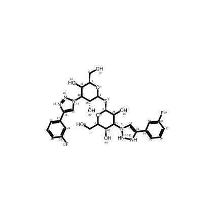 OCC1O[C@@H](SC2O[C@H](CO)C(O)C(n3cc(-c4cccc(F)c4)nn3)[C@H]2O)C(O)C(N2C=C(c3cccc(F)c3)NN2)[C@H]1O